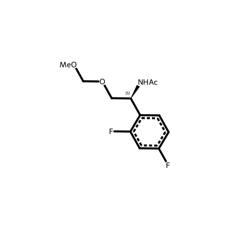 COCOC[C@@H](NC(C)=O)c1ccc(F)cc1F